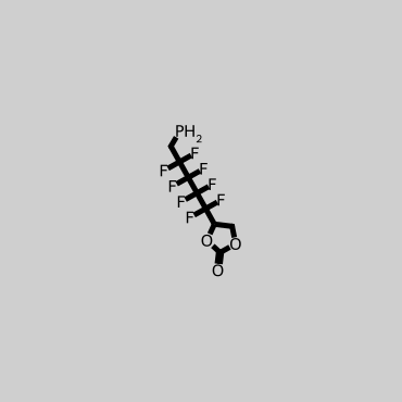 O=C1OCC(C(F)(F)C(F)(F)C(F)(F)C(F)(F)CP)O1